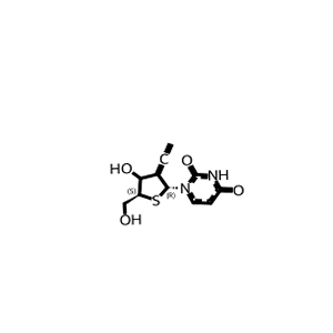 C=C=C1C(O)[C@H](CO)S[C@H]1n1ccc(=O)[nH]c1=O